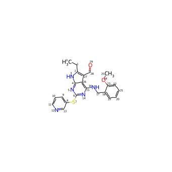 CCc1[nH]c2nc(Sc3cccnc3)nc(NCc3ccccc3OC)c2c1C=O